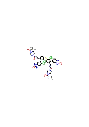 CC(=O)N1CCN(C(=O)/C=C/c2ccc(Sc3ccc(/C=C/C(=O)N4CCN(C(C)=O)CC4)c(-c4cc5c(cc4Cl)=NC(=O)N=5)c3Cl)c(Cl)c2-c2cc3c(cc2Cl)=NC(=O)N=3)CC1